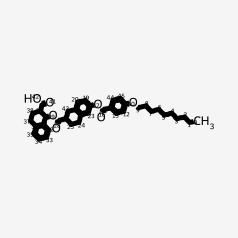 CCCCCCCCCCOc1ccc(C(=O)Oc2ccc3c(c2)CCC(C(=O)OC2c4ccccc4CCC2C(=O)O)C3)cc1